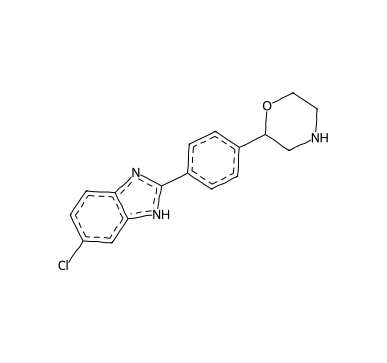 Clc1ccc2nc(-c3ccc(C4CNCCO4)cc3)[nH]c2c1